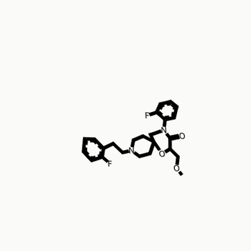 COCC1OC2(CCN(CCc3ccccc3F)CC2)CN(c2ccccc2F)C1=O